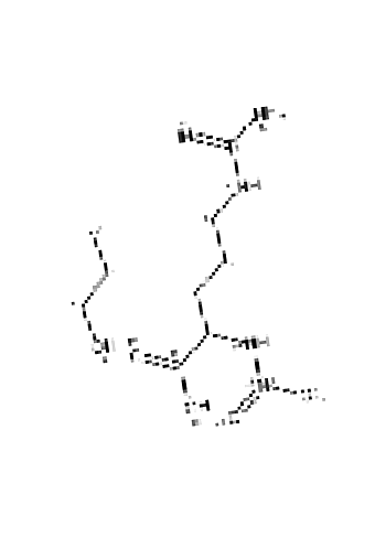 CCCO.N=C(N)NCCCC(N[N+](=O)[O-])C(=O)O